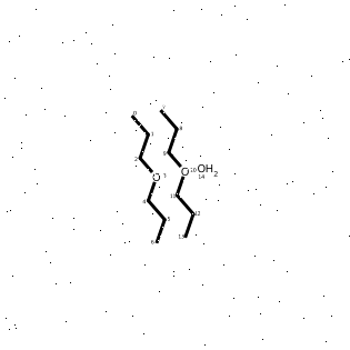 CCCOCCC.CCCOCCC.O